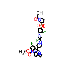 C#CC(=O)N1CCC[C@H](S(=O)(=O)c2ccc(N3CC(F)(CN4CCC([C@@](CN5CCC5)(c5cccc(F)c5)[C@H]5CCC[C@@H]5NC(=O)OC)CC4)C3)c(F)c2)C1